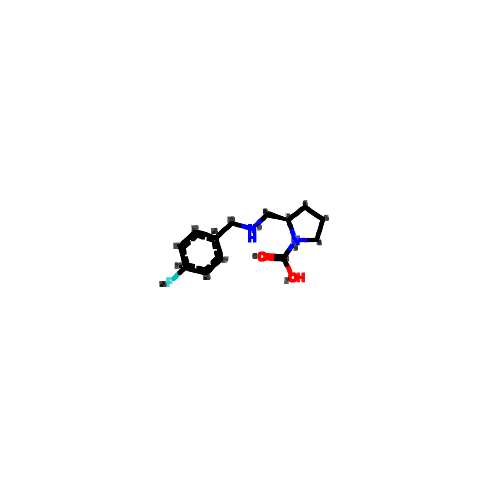 O=C(O)N1CCC[C@@H]1CNCc1ccc(F)cc1